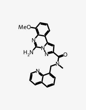 COc1cccc2c1nc(N)n1nc(C(=O)N(C)Cc3cccc4cccnc34)cc21